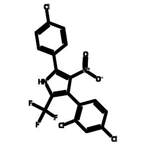 O=[N+]([O-])c1c(-c2ccc(Cl)cc2)[nH]c(C(F)(F)F)c1-c1ccc(Cl)cc1Cl